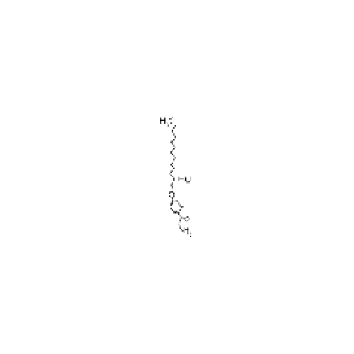 CCCCCCCCCCCCCCOc1ccc(C(=O)CN)cc1.Cl